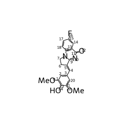 COc1cc(/C=C2\CCn3c2nc(=O)c2cc(F)ccc23)cc(OC)c1O